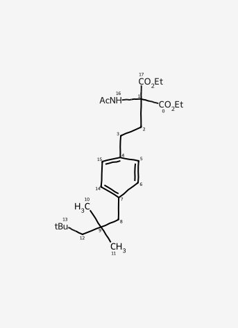 CCOC(=O)C(CCc1ccc(CC(C)(C)CC(C)(C)C)cc1)(NC(C)=O)C(=O)OCC